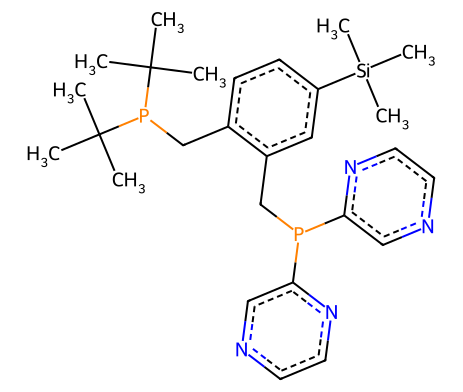 CC(C)(C)P(Cc1ccc([Si](C)(C)C)cc1CP(c1cnccn1)c1cnccn1)C(C)(C)C